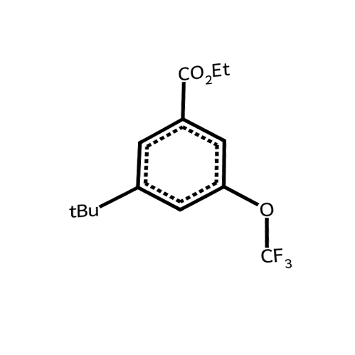 CCOC(=O)c1cc(OC(F)(F)F)cc(C(C)(C)C)c1